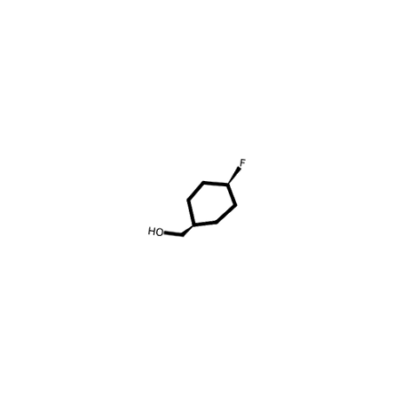 OC[C@H]1CC[C@@H](F)CC1